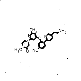 Cc1cc(Oc2cc(C#N)ccc2-c2ccc(CCN)cn2)cc(N2CCN(C)C(=O)C2)n1